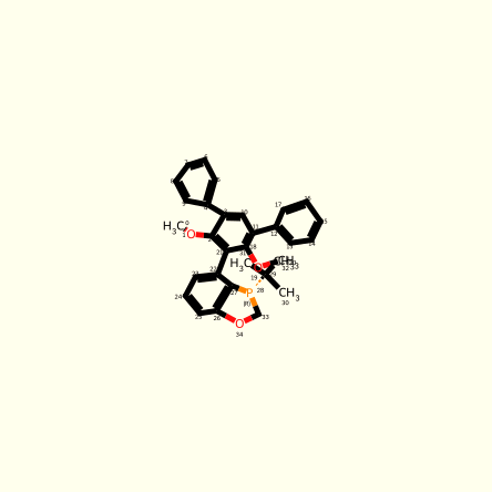 COc1c(-c2ccccc2)cc(-c2ccccc2)c(OC)c1-c1cccc2c1[P@](C(C)(C)C)CO2